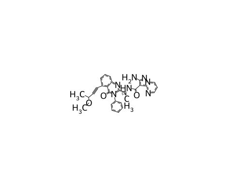 COC(C)C#Cc1cccc2nc([C@H](C)NC(=O)c3c(N)nn4cccnc34)n(-c3ccccc3)c(=O)c12